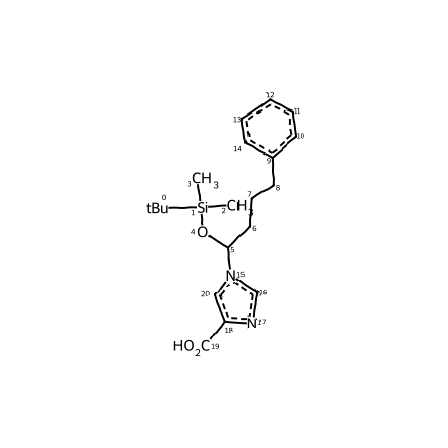 CC(C)(C)[Si](C)(C)OC(CCCc1ccccc1)n1cnc(C(=O)O)c1